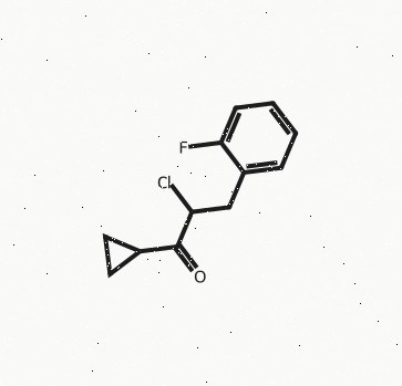 O=C(C(Cl)Cc1ccccc1F)C1CC1